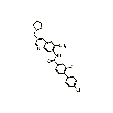 Cc1cc2cc(CN3CCCC3)cnc2cc1NC(=O)c1ccc(-c2ccc(Cl)cc2)c(F)c1